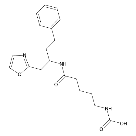 O=C(O)NCCCCC(=O)NC(CCc1ccccc1)Cc1ncco1